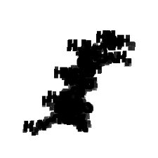 N=C(N)NCC/C=C(\NC(=O)[C@H](CCCCN)NC(=O)[C@H](Cc1cnc[nH]1)NC(=O)[C@@H]1CCCN1C(=O)/C(CCCN)=N/C(=O)CNC(=O)[C@H](Cc1cnc[nH]1)NC(=O)[C@@H](NC(=O)[C@@H](N)CCCCN)[C@@H](O)CN)C(N)=O